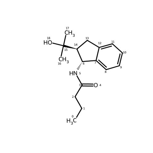 CCCC(=O)N[C@H]1c2ccccc2C[C@@H]1C(C)(C)O